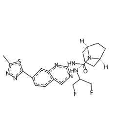 Cc1nnc(-c2ccc3cnc(NC(=O)N4[C@@H]5CC[C@H]4C[C@H](NC(CF)CF)C5)nc3c2)s1